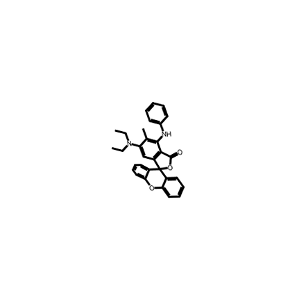 CCN(CC)c1cc2c(c(Nc3ccccc3)c1C)C(=O)OC21c2ccccc2Oc2ccccc21